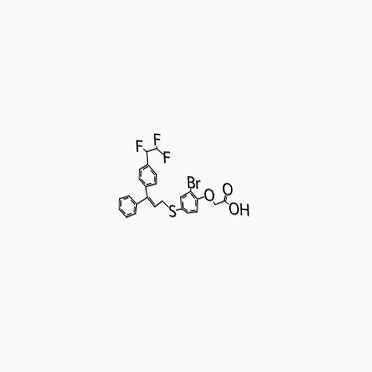 O=C(O)COc1ccc(SCC=C(c2ccccc2)c2ccc(C(F)C(F)F)cc2)cc1Br